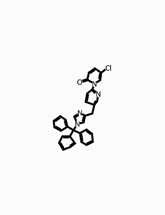 O=c1ccc(Cl)cn1-c1ccc(Cc2cn(C(c3ccccc3)(c3ccccc3)c3ccccc3)cn2)cn1